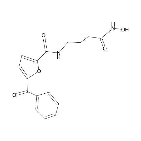 O=C(CCCNC(=O)c1ccc(C(=O)c2ccccc2)o1)NO